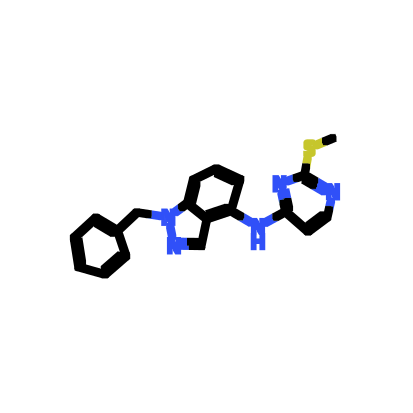 CSc1nccc(Nc2cccc3c2cnn3Cc2ccccc2)n1